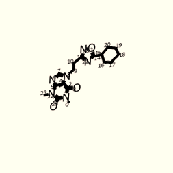 Cn1c(=O)c2c(ncn2CCc2noc(C3CCCCC3)n2)n(C)c1=O